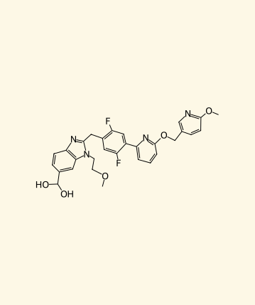 COCCn1c(Cc2cc(F)c(-c3cccc(OCc4ccc(OC)nc4)n3)cc2F)nc2ccc(C(O)O)cc21